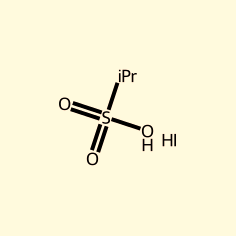 CC(C)S(=O)(=O)O.I